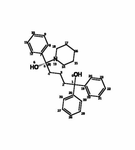 OC(CCC[C@@](O)(c1ccccc1)N1CCCCC1)(c1ccccc1)c1ccccc1